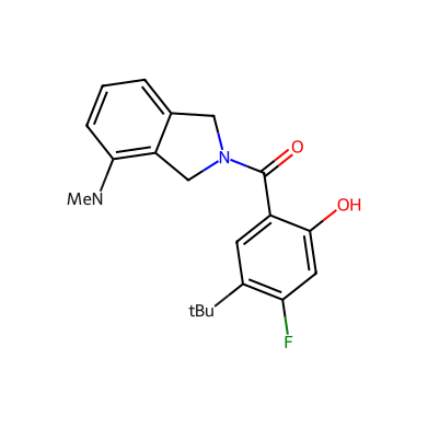 CNc1cccc2c1CN(C(=O)c1cc(C(C)(C)C)c(F)cc1O)C2